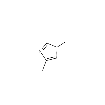 CC1=CC(I)C=N1